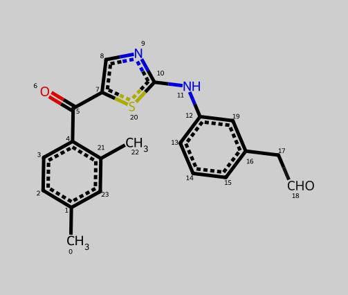 Cc1ccc(C(=O)c2cnc(Nc3cccc(CC=O)c3)s2)c(C)c1